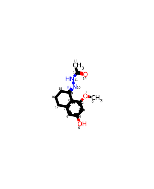 COc1cc(O)cc2c1/C(=N/NC(C)=O)CCC2